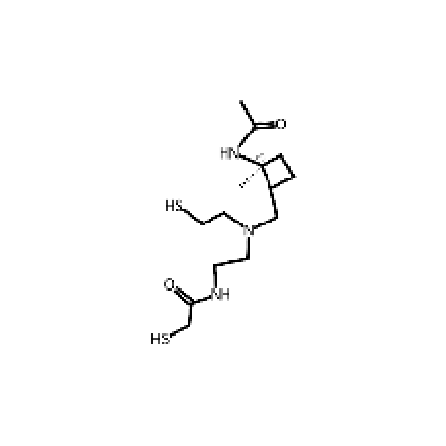 CC(=O)N[C@@]1(C)CCC1CN(CCS)CCNC(=O)CS